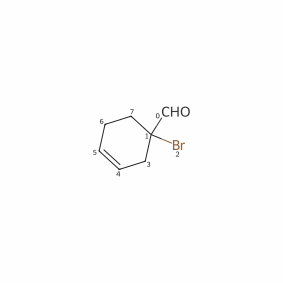 O=CC1(Br)CC=CCC1